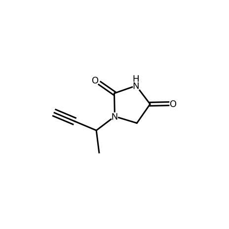 C#CC(C)N1CC(=O)NC1=O